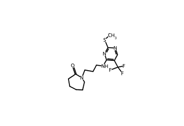 CSc1ncc(C(F)(F)F)c(NCCCN2CCCCCC2=O)n1